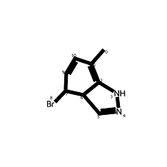 CC1=C2NN=CC2C(Br)C=C1